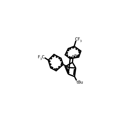 CCCCC1[C]=C2C(C(C)(C)C)=C1C2(c1ccc(C(F)(F)F)cc1)c1ccc(C(F)(F)F)cc1